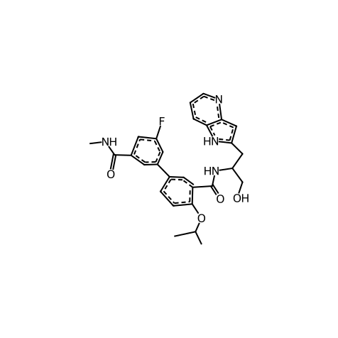 CNC(=O)c1cc(F)cc(-c2ccc(OC(C)C)c(C(=O)NC(CO)Cc3cc4ncccc4[nH]3)c2)c1